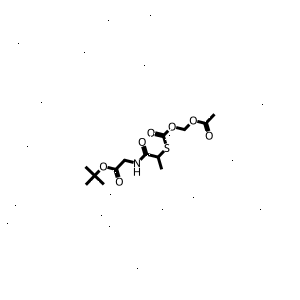 CC(=O)OCOC(=O)SC(C)C(=O)NCC(=O)OC(C)(C)C